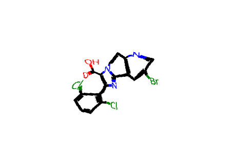 O=C(O)c1c(-c2c(Cl)cccc2Cl)nc2c3cc(Br)cnc3ccn12